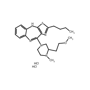 CCCCc1nc2c(s1)Nc1ccccc1N=C2N1CCN(C)C(CCOC)C1.Cl.Cl